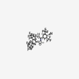 N#Cc1c(C(F)(F)F)cc(/C(O)=C2\COC2c2cc(C(F)(C(F)(F)F)C(F)(F)F)nc(C(F)(C(F)(F)F)C(F)(F)F)n2)cc1C(F)(F)F